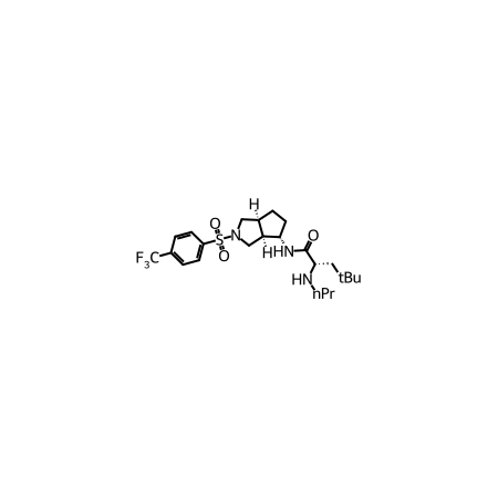 CCCN[C@@H](CC(C)(C)C)C(=O)N[C@H]1CC[C@@H]2CN(S(=O)(=O)c3ccc(C(F)(F)F)cc3)C[C@@H]21